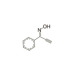 C#CC(=NO)c1ccccc1